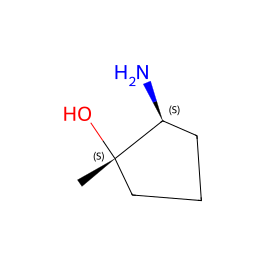 C[C@]1(O)CCC[C@@H]1N